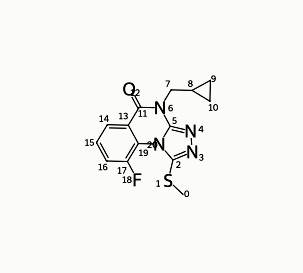 CSc1nnc2n(CC3CC3)c(=O)c3cccc(F)c3n12